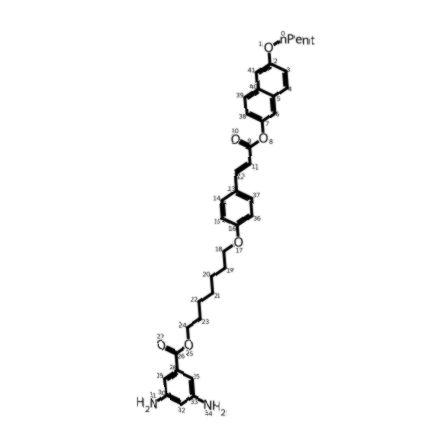 CCCCCOc1ccc2cc(OC(=O)/C=C/c3ccc(OCCCCCCCOC(=O)c4cc(N)cc(N)c4)cc3)ccc2c1